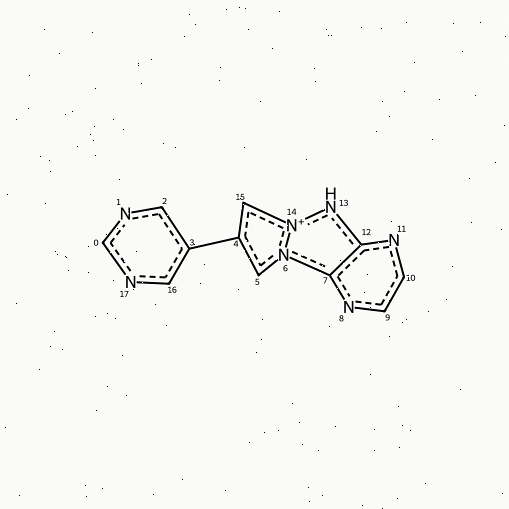 c1ncc(-c2cn3c4nccnc4[nH][n+]3c2)cn1